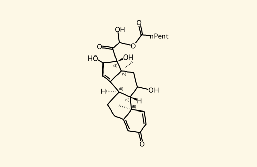 CCCCCC(=O)OC(O)C(=O)[C@@]1(O)C(O)C=C2[C@@H]3CCC4=CC(=O)C=C[C@]4(C)[C@H]3C(O)C[C@@]21C